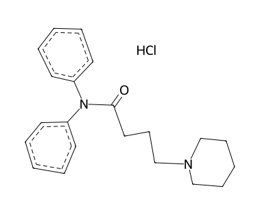 Cl.O=C(CCCN1CCCCC1)N(c1ccccc1)c1ccccc1